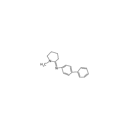 CN1CCCC/C1=N\c1ccc(-c2ccccc2)cc1